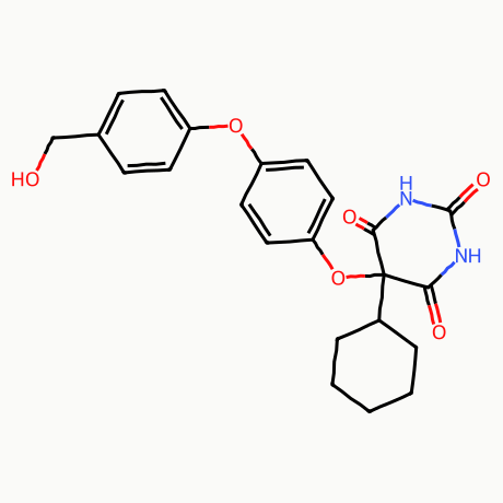 O=C1NC(=O)C(Oc2ccc(Oc3ccc(CO)cc3)cc2)(C2CCCCC2)C(=O)N1